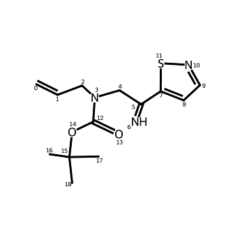 C=CCN(CC(=N)c1ccns1)C(=O)OC(C)(C)C